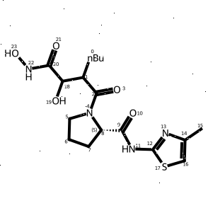 CCCCC(C(=O)N1CCC[C@H]1C(=O)Nc1nc(C)cs1)C(O)C(=O)NO